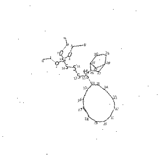 CCO[Si](OCC)(OCC)SSS[SH](C1CCCCCCCCCCC1)C1CC2CCC1C2